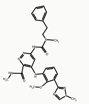 CNC(=O)c1nnc(NC(=O)N(C)CCc2ccccc2)cc1Nc1cccc(-c2ncn(C)n2)c1OC